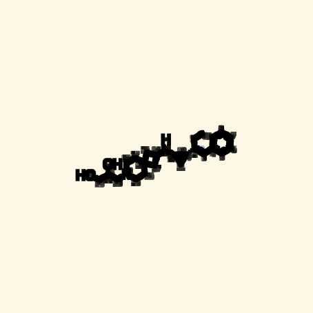 CC/C(=C\c1ccccc1)[C@@H]1C[C@H]1NC1CC2(CCN(C[C@@H](O)CO)CC2)C1